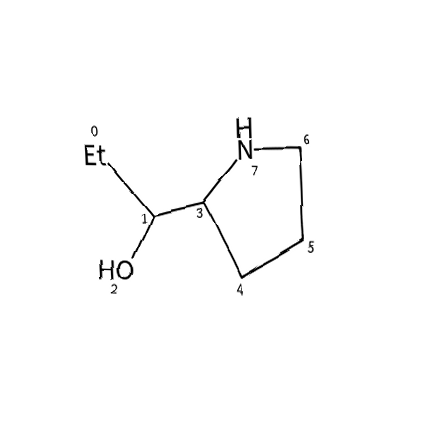 CCC(O)C1CCCN1